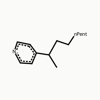 CCCCCCCC(C)c1ccncc1